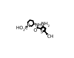 C#Cc1cc(N)c(C(=O)N[C@H]2CCCN(C(=O)O)C2)s1